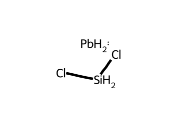 Cl[SiH2]Cl.[PbH2]